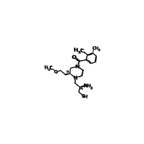 COCC[C@H]1CN(C(=O)c2cccc(C)c2C)CCN1C[C@@H](N)CS